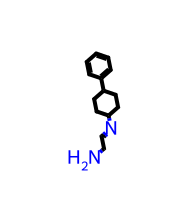 NCC=NC1CCC(c2ccccc2)CC1